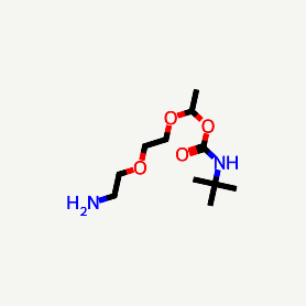 CC(OCCOCCN)OC(=O)NC(C)(C)C